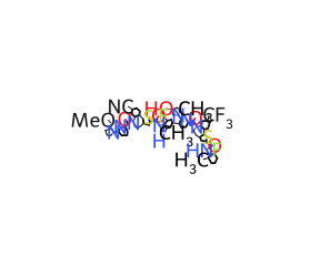 COC[C@H]1CCCN1c1cccc(C(=O)N2CCc3cc(C(=O)Nc4c(C)cc(-c5ccc(C(=O)N6CCc7cc(C(=O)Nc8c(C)cccc8F)sc7-c7ccc(C(F)(F)F)cc76)nc5N5C[C@@H](O)C[C@@H]5C)cc4F)sc3-c3ccc(C#N)cc32)n1